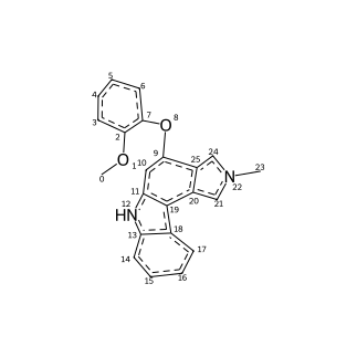 COc1ccccc1Oc1cc2[nH]c3ccccc3c2c2cn(C)cc12